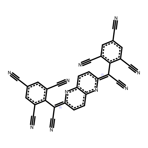 N#C/C(c1c(C#N)cc(C#N)cc1C#N)=c1/ccc2n/c(=C(/C#N)c3c(C#N)cc(C#N)cc3C#N)ccc2n1